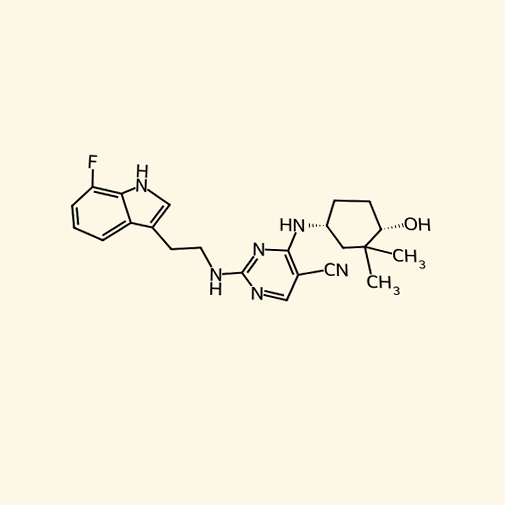 CC1(C)C[C@H](Nc2nc(NCCc3c[nH]c4c(F)cccc34)ncc2C#N)CC[C@@H]1O